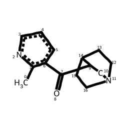 Cc1ncccc1C(=O)C1CN2CCC1CC2